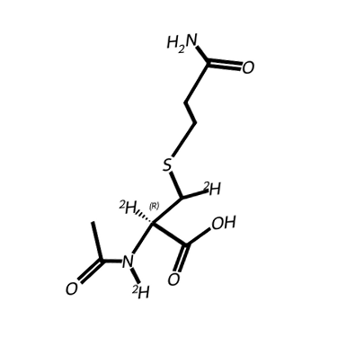 [2H]C(SCCC(N)=O)[C@@]([2H])(C(=O)O)N([2H])C(C)=O